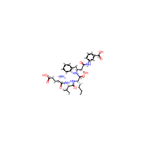 CCCC[C@H](NC(=O)[C@@H](NC(=O)[C@@H](N)CCC(=O)O)C(C)C)C(=O)N[C@@H](Cc1ccccc1)[C@@H](O)C(=O)Nc1cccc(C(=O)O)c1